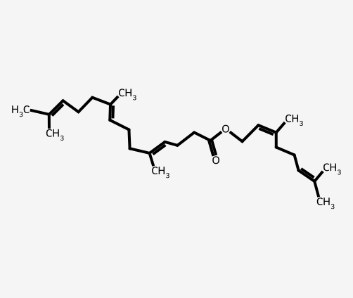 CC(C)=CCCC(C)=CCCC(C)=CCCC(=O)OCC=C(C)CCC=C(C)C